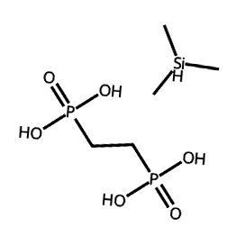 C[SiH](C)C.O=P(O)(O)CCP(=O)(O)O